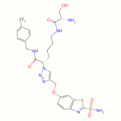 N[C@@H](CO)C(=O)NCCCC[C@@H](C(=O)NCc1ccc(C(F)(F)F)cc1)n1cc(COc2ccc3nc(S(N)(=O)=O)sc3c2)nn1